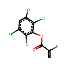 C=C(F)C(=O)Oc1c(Cl)c(Cl)cc(Cl)c1Cl